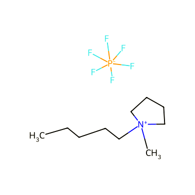 CCCCC[N+]1(C)CCCC1.F[P-](F)(F)(F)(F)F